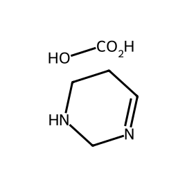 C1=NCNCC1.O=C(O)O